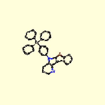 c1ccc([Si](c2ccccc2)(c2ccccc2)c2ccc(-n3c4cccnc4c4c5ccccc5sc43)cc2)cc1